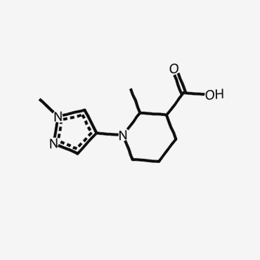 CC1C(C(=O)O)CCCN1c1cnn(C)c1